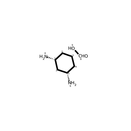 N[C@@H]1CCC[C@H](N)C1.O=CO